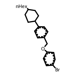 CCCCCCC1CCC(c2ccc(COc3ccc(Br)cc3)cc2)CC1